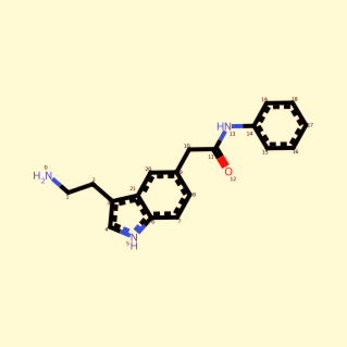 NCCc1c[nH]c2ccc(CC(=O)Nc3ccccc3)cc12